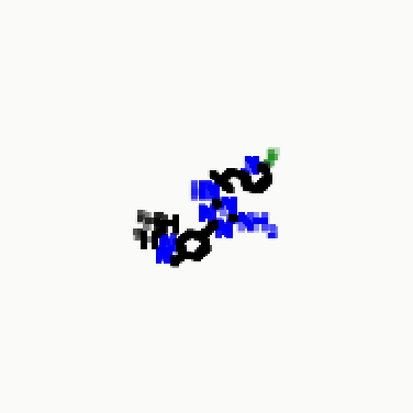 [2H]C([2H])([2H])n1ncc2ccc(-c3nc(N)nc(NC(C)(C)Cc4cccc(F)n4)n3)cc21